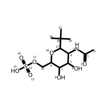 CC(=O)NC1C(O)C(O)C(COS(=O)(=O)O)OC1C(C)(C)C